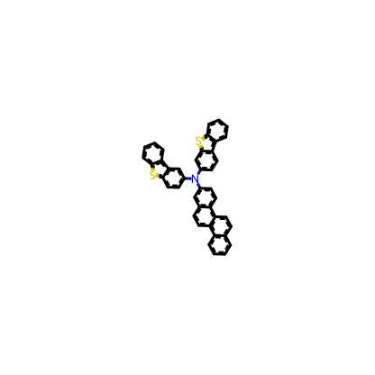 c1ccc2c(c1)ccc1c3ccc(N(c4ccc5c(c4)sc4ccccc45)c4ccc5sc6ccccc6c5c4)cc3ccc21